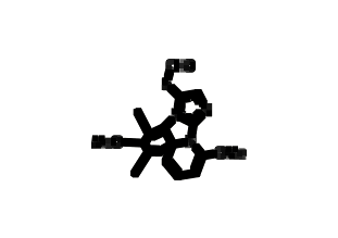 COC1=CC=CC23C=C(C)C(OC)C(C)=C2n2c(SC=O)cnc2N13